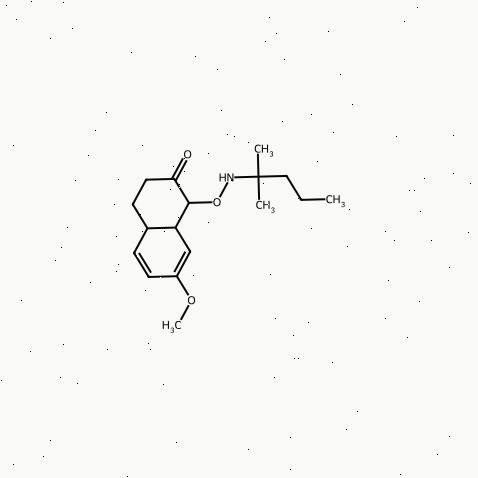 CCCC(C)(C)NOC1C(=O)CCC2C=CC(OC)=CC21